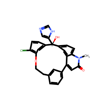 Cn1c(=O)cc2c3cc(ccc31)[C@@](O)(c1cnc[nH]1)c1ccc(Cl)c(c1)OCCc1cccc-2c1